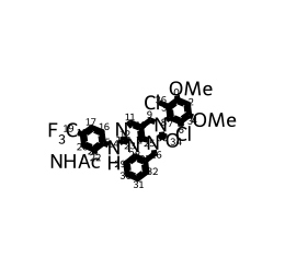 COc1cc(OC)c(Cl)c(N2Cc3cnc(Nc4ccc(C(F)(F)F)cc4NC(C)=O)nc3N(Cc3ccccc3)C2=O)c1Cl